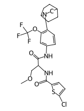 COCC(NC(=O)c1ccc(Cl)s1)C(=O)Nc1ccc(N2CC3CCC2CC3)c(OC(F)(F)F)c1